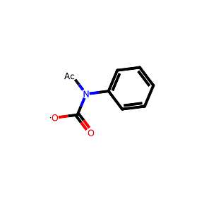 CC(=O)N(C([O])=O)c1ccccc1